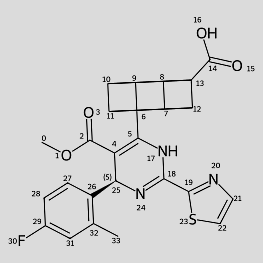 COC(=O)C1=C(C23C4C5C2C2C3C4C52C(=O)O)NC(c2nccs2)=N[C@H]1c1ccc(F)cc1C